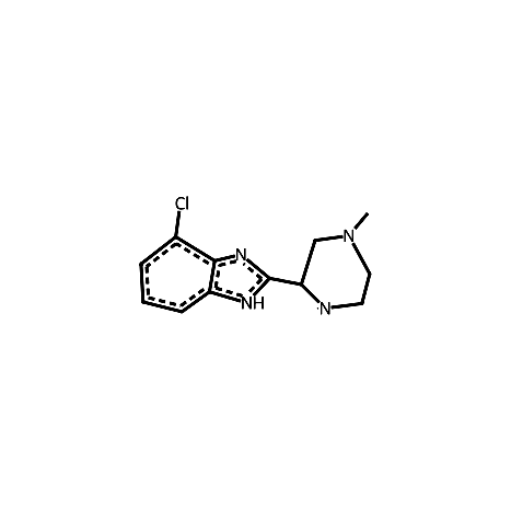 CN1CC[N]C(c2nc3c(Cl)cccc3[nH]2)C1